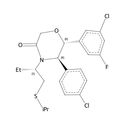 CC[C@@H](CSC(C)C)N1C(=O)CO[C@H](c2cc(F)cc(Cl)c2)[C@H]1c1ccc(Cl)cc1